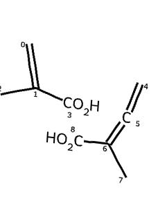 C=C(C)C(=O)O.C=C=C(C)C(=O)O